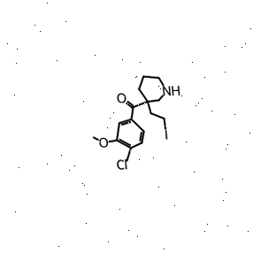 COc1cc(C(=O)C2(CCI)CCCNC2)ccc1Cl